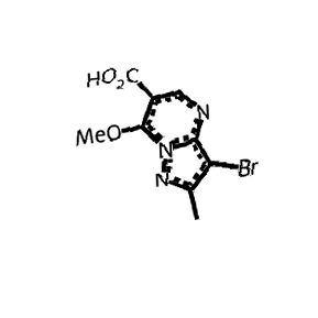 COc1c(C(=O)O)cnc2c(Br)c(C)nn12